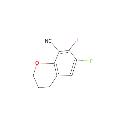 N#Cc1c(I)c(F)cc2c1OCCC2